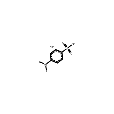 O=S(=O)([O-])c1ccc([As](I)I)cc1.[Na+]